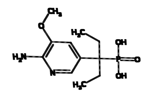 CCC(CC)(c1cnc(N)c(OC)c1)P(=O)(O)O